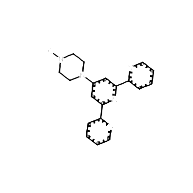 CN1CCN(c2cc(-c3ccccn3)nc(-c3ccccn3)c2)CC1